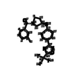 Cc1cccc(C(=O)N2CC[C@@H](Sc3ccc(-c4noc(C(F)(F)F)n4)cc3)C2)c1